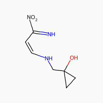 N=C(/C=C\NCC1(O)CC1)[N+](=O)[O-]